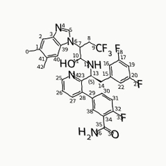 Cc1cc2ncn(C(CC(F)(F)F)C(O)N[C@@H](Cc3cc(F)cc(F)c3)c3ncccc3-c3ccc(F)c(C(N)=O)c3)c2cc1C